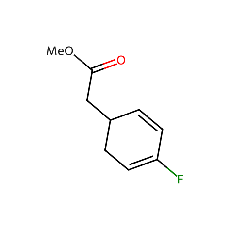 COC(=O)CC1C=CC(F)=CC1